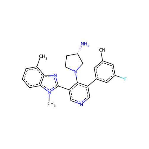 Cc1cccc2c1nc(-c1cncc(-c3cc(F)cc(C#N)c3)c1N1CC[C@H](N)C1)n2C